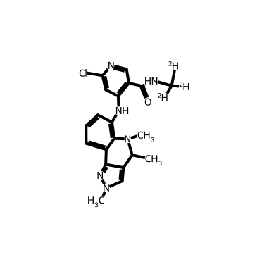 [2H]C([2H])([2H])NC(=O)c1cnc(Cl)cc1Nc1cccc2c1N(C)C(C)c1cn(C)nc1-2